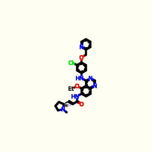 CCOc1c(NC(=O)/C=C/[C@H]2CCCN2C)ccc2ncnc(Nc3ccc(OCc4ccccn4)c(Cl)c3)c12